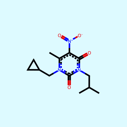 Cc1c([N+](=O)[O-])c(=O)n(CC(C)C)c(=O)n1CC1CC1